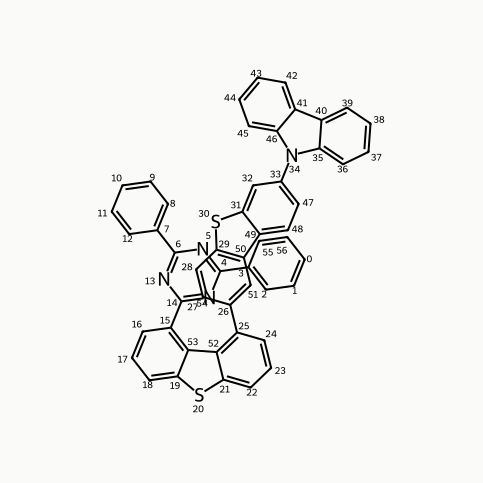 c1ccc(-c2nc(-c3ccccc3)nc(-c3cccc4sc5cccc(-c6ccc7sc8cc(-n9c%10ccccc%10c%10ccccc%109)ccc8c7c6)c5c34)n2)cc1